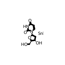 O=c1ccn([C@H]2C[C@H](O)[C@@H](CO)O2)c(=O)[nH]1.[Sn]